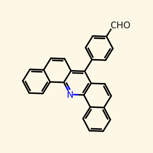 O=Cc1ccc(-c2c3ccc4ccccc4c3nc3c2ccc2ccccc23)cc1